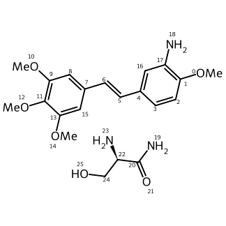 COc1ccc(C=Cc2cc(OC)c(OC)c(OC)c2)cc1N.NC(=O)[C@H](N)CO